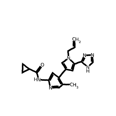 C=CCn1cc(-c2cc(NC(=O)C3CC3)ncc2C)cc1-c1nnc[nH]1